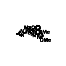 COc1cccc(-c2nnc(NS(=O)(=O)[C@@H](C)Cc3ncc(C)cn3)n2-c2c(OC)cccc2OC)n1